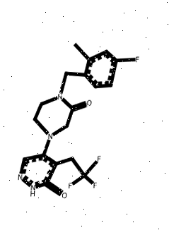 Cc1cc(F)ccc1CN1CCN(c2cn[nH]c(=O)c2CC(F)(F)F)CC1=O